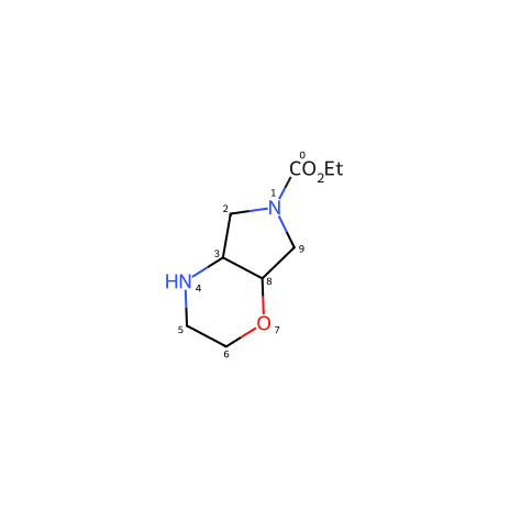 CCOC(=O)N1CC2NCCOC2C1